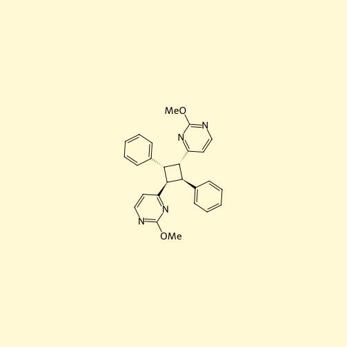 COc1nccc([C@H]2[C@H](c3ccccc3)[C@H](c3ccnc(OC)n3)[C@H]2c2ccccc2)n1